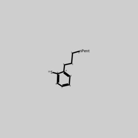 CCCCCCCCc1ccccc1[S]